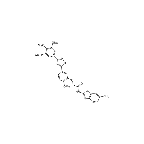 COc1ccc(-c2cc(-c3cc(OC)c(OC)c(OC)c3)no2)cc1OCC(=O)Nc1nc2ccc(C)cc2s1